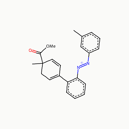 COC(=O)C1(C)C=CC(c2ccccc2/N=N/c2cccc(C)c2)=CC1